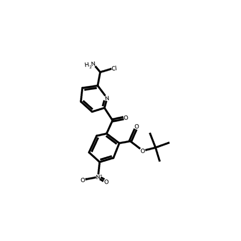 CC(C)(C)OC(=O)c1cc([N+](=O)[O-])ccc1C(=O)c1cccc(C(N)Cl)n1